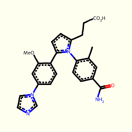 COc1cc(-n2ccnc2)ccc1-c1ccc(CCC(=O)O)n1-c1ccc(C(N)=O)cc1C